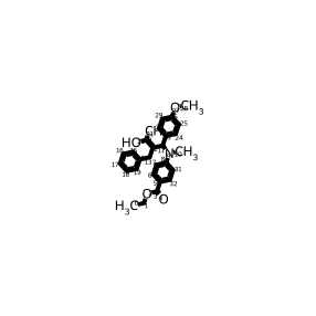 CCOC(=O)c1ccc(N(C)C(/C(Cc2ccccc2)=C(\C)O)c2ccc(OC)cc2)cc1